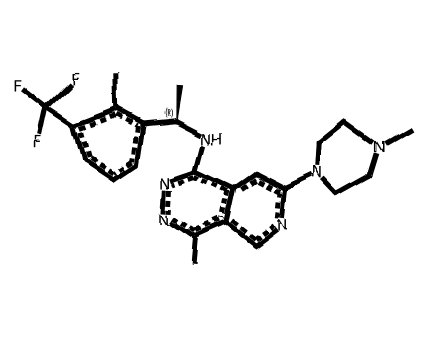 Cc1c([C@@H](C)Nc2nnc(C)c3cnc(N4CCN(C)CC4)cc23)cccc1C(F)(F)F